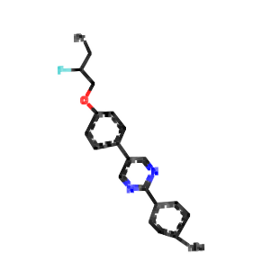 CCCCc1ccc(-c2ncc(-c3ccc(OCC(F)CC(C)C)cc3)cn2)cc1